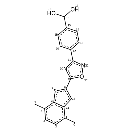 Cc1ccc(C)c2sc(-c3nc(-c4ccc(C(O)O)cc4)no3)cc12